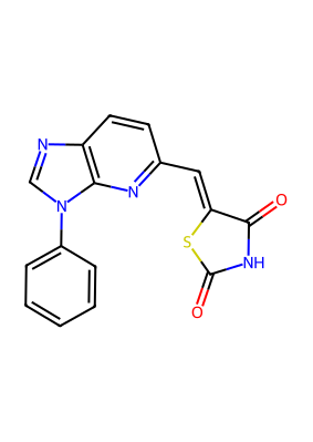 O=C1NC(=O)C(=Cc2ccc3ncn(-c4ccccc4)c3n2)S1